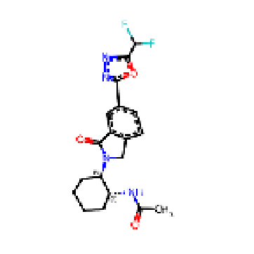 CC(=O)N[C@@H]1CCCC[C@H]1N1Cc2ccc(-c3nnc(C(F)F)o3)cc2C1=O